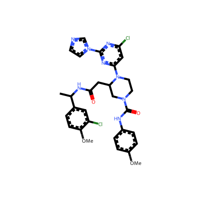 COc1ccc(NC(=O)N2CCN(c3cc(Cl)nc(-n4ccnc4)n3)C(CC(=O)NC(C)c3ccc(OC)c(Cl)c3)C2)cc1